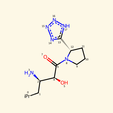 CC(C)C[C@@H](N)[C@H](O)C(=O)N1CCC[C@H]1c1nnn[nH]1